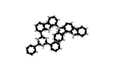 c1ccc(-c2nc(-c3ccccc3)nc(-c3cccc4c3oc3c(-n5c6ccccc6c6c7sc8ccccc8c7ccc65)cccc34)n2)cc1